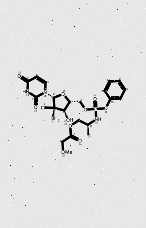 B[C@]1(Cl)[C@H](O)[C@@H](COP(=O)(N[C@@H](C)COC(=O)COC)Oc2ccccc2)O[C@H]1n1ccc(=O)[nH]c1=O